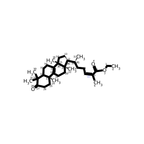 CCOC(=O)/C(C)=C\CC[C@@H](C)[C@H]1CC[C@@]2(C)C3=C(CC[C@]12C)[C@@]1(C)CCC(=O)C(C)(C)C1CC3